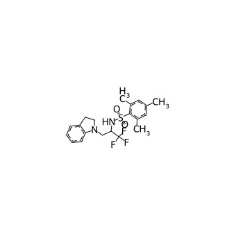 Cc1cc(C)c(S(=O)(=O)NC(CN2CCc3ccccc32)C(F)(F)F)c(C)c1